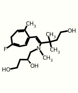 CC1=CCC(F)=CC=C1/C=C(\N(C)C[C@@H](O)CCO)C(C)(C)CCO